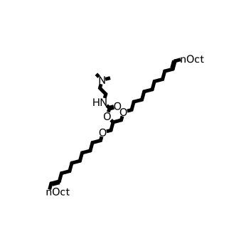 CCCCCCCCC=CCCCCCCCCOCC(COCCCCCCCCC=CCCCCCCCC)OC(=O)NCCN(C)C